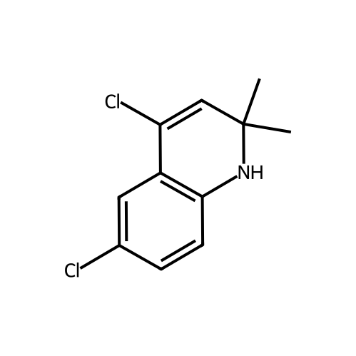 CC1(C)C=C(Cl)c2cc(Cl)ccc2N1